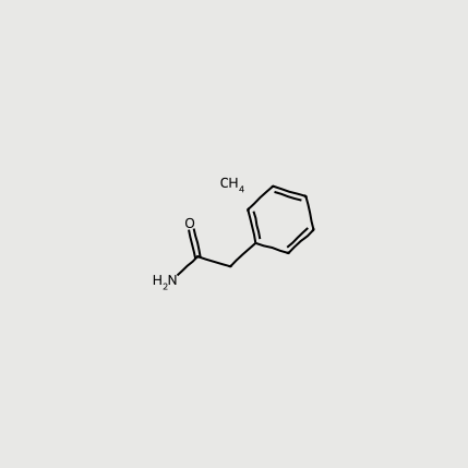 C.NC(=O)Cc1ccccc1